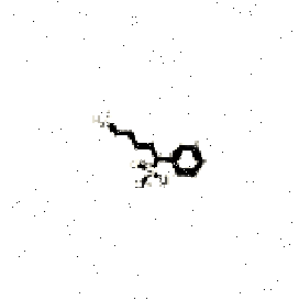 CCCCCC(c1ccccc1)[Si](Cl)(Cl)Cl